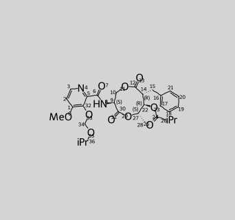 COc1ccnc(C(=O)N[C@H]2COC(=O)[C@H](Cc3ccccc3)[C@@H](OC(=O)C(C)C)[C@H](C)OC2=O)c1OCOC(C)C